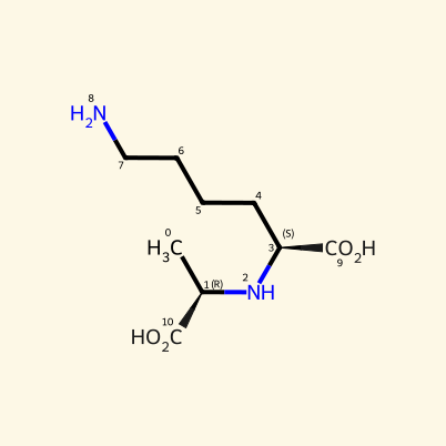 C[C@@H](N[C@@H](CCCCN)C(=O)O)C(=O)O